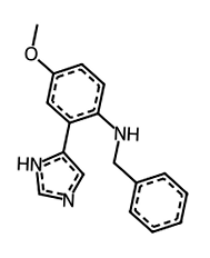 COc1ccc(NCc2ccccc2)c(-c2cnc[nH]2)c1